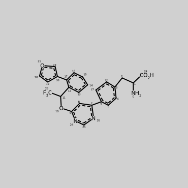 NC(Cc1ccc(-c2cc(OC(c3ccccc3-c3ccoc3)C(F)(F)F)ncn2)cc1)C(=O)O